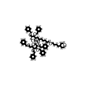 CC[C@@H](OCc1ccccc1)[C@@H](OCc1ccccc1)[C@H](COC1OC(COCc2ccccc2)C(OCc2ccccc2)C(OCc2ccccc2)C1OCc1ccccc1)CC(=O)CCCCCOCCCCC1CCOCC1